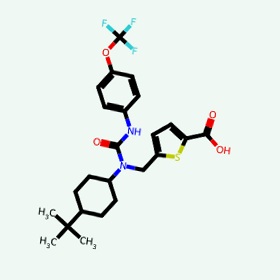 CC(C)(C)C1CCC(N(Cc2ccc(C(=O)O)s2)C(=O)Nc2ccc(OC(F)(F)F)cc2)CC1